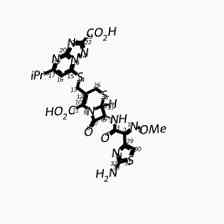 CON=C(C(=O)N[C@@H]1C(=O)N2C(C(=O)O)=C(CSc3cc(C(C)C)nc4nc(C(=O)O)nn34)CS[C@H]12)c1csc(N)n1